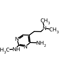 CNc1ncc(CCN(C)C)c(N)n1